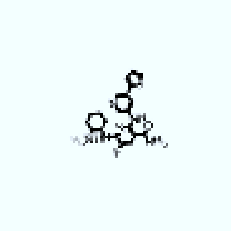 NC(=O)c1cc(F)c(NC2CCCC[C@@H]2N)nc1Nc1cncc(-c2cccs2)c1